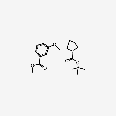 COC(=O)c1cccc(OC[C@@H]2CCCN2C(=O)OC(C)(C)C)c1